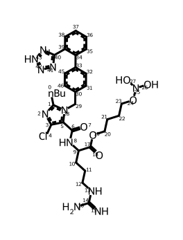 CCCCc1nc(Cl)c(C(=O)NC(CCCNC(=N)N)C(=O)OCCCCON(O)O)n1Cc1ccc(-c2ccccc2-c2nn[nH]n2)cc1